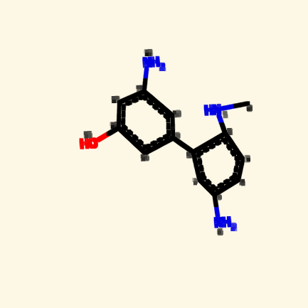 CNc1ccc(N)cc1-c1cc(N)cc(O)c1